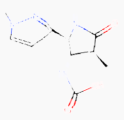 C[C@@H]1C(=O)N[C@H](c2ccn(C)n2)[C@H]1NC(=O)O